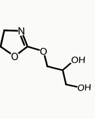 OCC(O)COC1=NCCO1